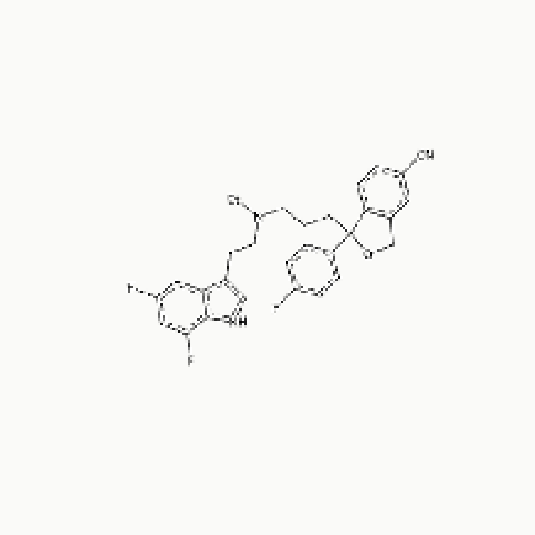 CCN(CCCC1(c2ccc(F)cc2)OCc2cc(C#N)ccc21)CCc1c[nH]c2c(F)cc(F)cc12